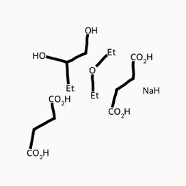 CCC(O)CO.CCOCC.O=C(O)CCC(=O)O.O=C(O)CCC(=O)O.[NaH]